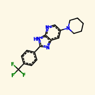 FC(F)(F)c1ccc(-c2nc3cc(N4CCCCC4)cnc3[nH]2)cc1